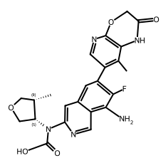 Cc1c(-c2cc3cc(N(C(=O)O)[C@@H]4COC[C@@H]4C)ncc3c(N)c2F)cnc2c1NC(=O)CO2